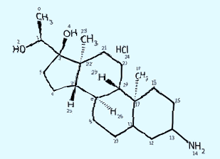 C[C@H](O)[C@@]1(O)CC[C@H]2[C@@H]3CCC4CC(N)CC[C@]4(C)[C@H]3CC[C@@]21C.Cl